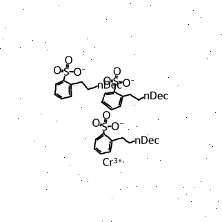 CCCCCCCCCCCCc1ccccc1S(=O)(=O)[O-].CCCCCCCCCCCCc1ccccc1S(=O)(=O)[O-].CCCCCCCCCCCCc1ccccc1S(=O)(=O)[O-].[Cr+3]